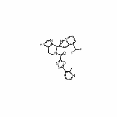 Cc1ncccc1-c1nnc(C(=O)N2CCc3[nH]cnc3C2c2cc3c(C(F)F)cccn3n2)o1